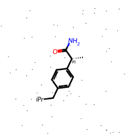 CC(C)Cc1ccc([C@@H](C)C(N)=O)cc1